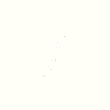 C=CCCc1ccc(-c2ccc(C(F)(F)C(F)(F)c3ccc(CC/C=C/C)cc3)cc2)cc1